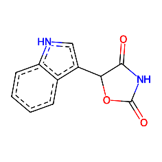 O=C1NC(=O)C(c2c[nH]c3ccccc23)O1